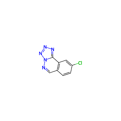 Clc1ccc2cnn3nnnc3c2c1